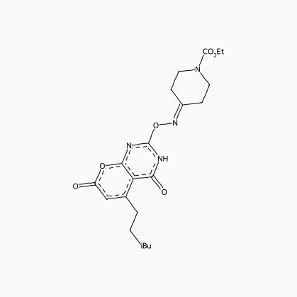 CCOC(=O)N1CCC(=NOc2nc3oc(=O)cc(CCC(C)CC)c3c(=O)[nH]2)CC1